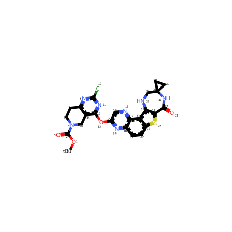 CC(C)(C)OC(=O)N1CCc2nc(Cl)nc(Oc3cnc4c(ccc5sc6c(c54)NCC4(CC4)NC6=O)n3)c2C1